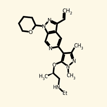 C=Cc1nn(C2CCCCO2)c2cnc(-c3c(C)nn(C)c3O[C@H](C)CNCC)cc12